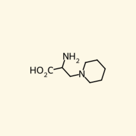 NC(CN1CCCCC1)C(=O)O